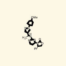 COc1ccc(-n2cc([C@H](C)Nc3nccc(N4C(=O)OC[C@@H]4C(C)C)n3)cn2)cc1